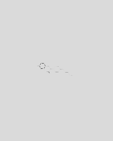 CCCCCC1CCC(C2Cc3ccc(F)c(F)c3OC2=O)CC1